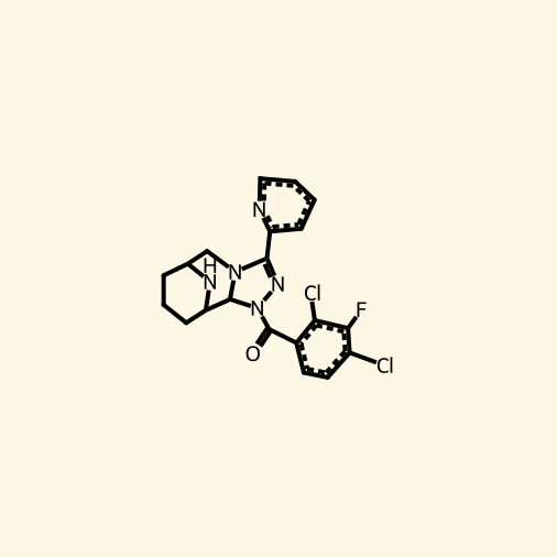 O=C(c1ccc(Cl)c(F)c1Cl)N1N=C(c2ccccn2)N2CC3CCCC(N3)C21